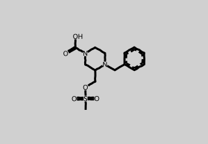 CS(=O)(=O)OCC1CN(C(=O)O)CCN1Cc1ccccc1